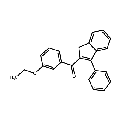 CCOc1cccc(C(=O)C2=C(c3ccccc3)c3ccccc3C2)c1